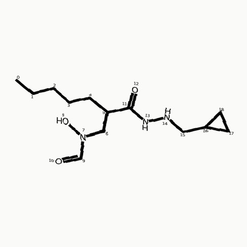 CCCCCC(CN(O)C=O)C(=O)NNCC1CC1